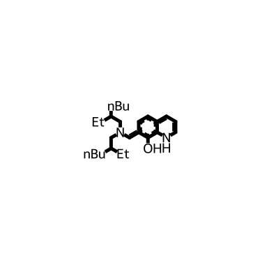 CCCCC(CC)CN(C=c1ccc2c(c1O)NC=CC=2)CC(CC)CCCC